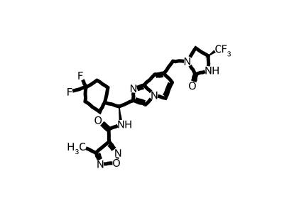 Cc1nonc1C(=O)N[C@H](c1cn2ccc(CN3C[C@@H](C(F)(F)F)NC3=O)cc2n1)C1CCC(F)(F)CC1